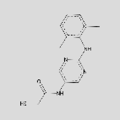 Cc1cccc(C)c1Nc1ncc(NC(=O)CS)cn1